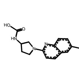 O=C(O)NC1CCN(c2ccc3cc(F)ccc3n2)C1